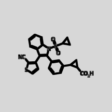 N#Cc1sccc1-c1c(-c2cccc(C3CC3C(=O)O)c2)n(S(=O)(=O)C2CC2)c2ccccc12